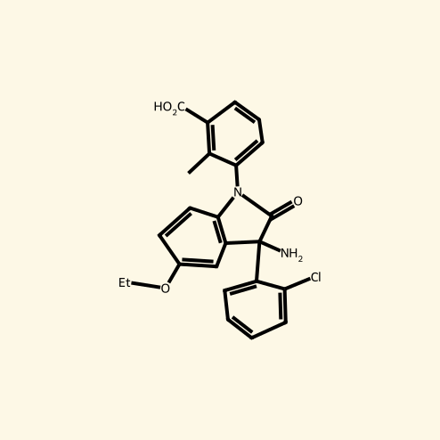 CCOc1ccc2c(c1)C(N)(c1ccccc1Cl)C(=O)N2c1cccc(C(=O)O)c1C